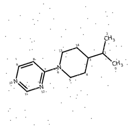 CC(C)C1CCN(c2ccncn2)CC1